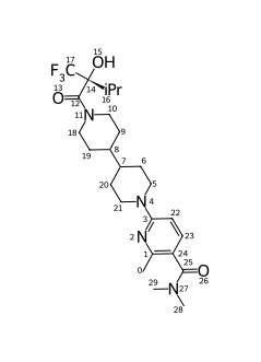 Cc1nc(N2CCC(C3CCN(C(=O)[C@](O)(C(C)C)C(F)(F)F)CC3)CC2)ccc1C(=O)N(C)C